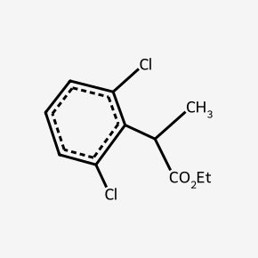 CCOC(=O)C(C)c1c(Cl)cccc1Cl